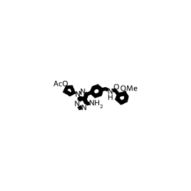 COc1ccccc1C(=O)NCc1ccc(-c2nn([C@H]3C=C[C@H](OC(C)=O)C3)c3ncnc(N)c23)cc1